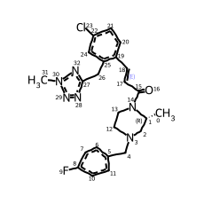 C[C@@H]1CN(Cc2ccc(F)cc2)CCN1C(=O)/C=C/c1ccc(Cl)cc1Cc1nnn(C)n1